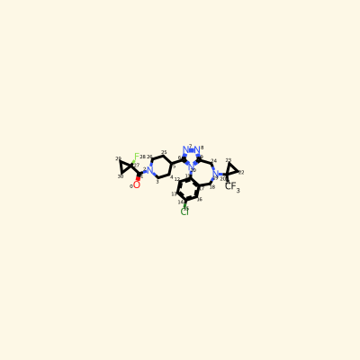 O=C(N1CCC(c2nnc3n2-c2ccc(Cl)cc2CN(C2(C(F)(F)F)CC2)C3)CC1)C1(F)CC1